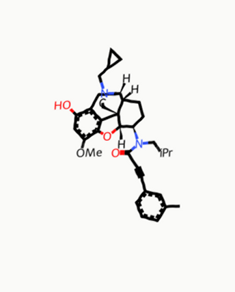 COc1cc(O)c2c3c1O[C@H]1[C@H](N(CC(C)C)C(=O)C#Cc4cccc(C)c4)CC[C@H]4[C@@H](C2)N(CC2CC2)CC[C@@]341